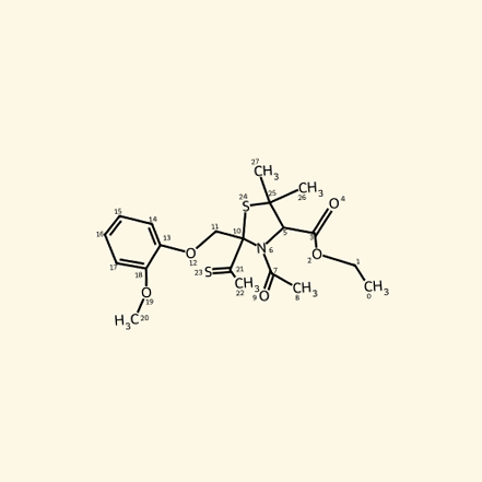 CCOC(=O)C1N(C(C)=O)C(COc2ccccc2OC)(C(C)=S)SC1(C)C